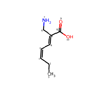 CC/C=C\C=C(/CN)C(=O)O